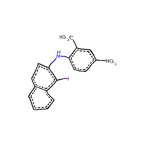 O=C(O)c1cc([N+](=O)[O-])ccc1Nc1ccc2ccccc2c1I